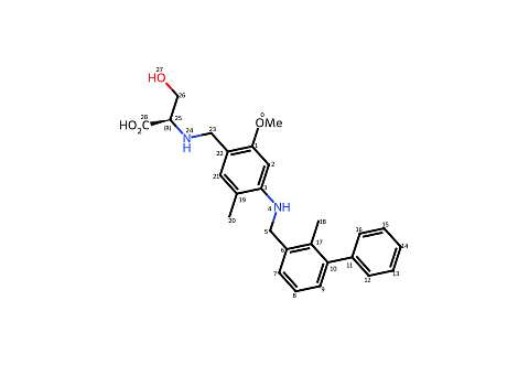 COc1cc(NCc2cccc(-c3ccccc3)c2C)c(C)cc1CN[C@H](CO)C(=O)O